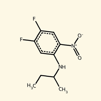 CCC(C)Nc1cc(F)c(F)cc1[N+](=O)[O-]